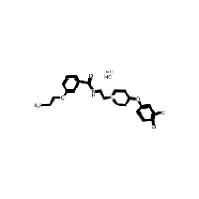 Cl.Cl.NCCOc1cccc(C(=O)NCCN2CCC(Oc3ccc(Cl)c(Cl)c3)CC2)c1